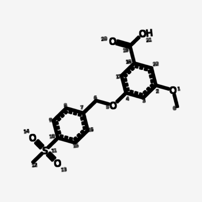 COc1cc(OCc2ccc(S(C)(=O)=O)cc2)cc(C(=O)O)c1